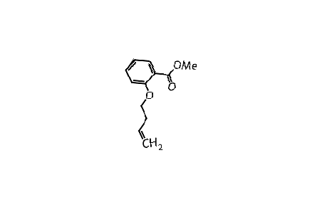 C=CCCOc1ccccc1C(=O)OC